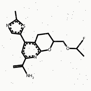 C=C(N)c1cc(-c2cnc(C)s2)c2c(n1)OC(COC(C)F)CC2